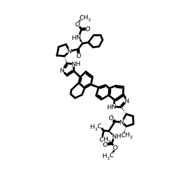 COC(=O)N[C@H](C(=O)N1[C@@H](C)CC[C@H]1c1nc2ccc3cc(-c4ccc(-c5cnc([C@@H]6CCCN6C(=O)[C@@H](NC(=O)OC)C6CCCCC6)[nH]5)c5c4CCCC5)ccc3c2[nH]1)C(C)C